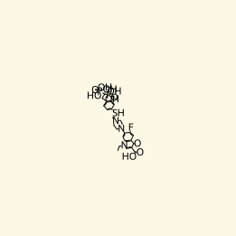 CCn1cc(C(=O)O)c(=O)c2cc(F)c(N3CCN(C=[SH]c4ccc(CC(O)(P(=O)(O)O)P(=O)(O)O)cc4)CC3)cc21